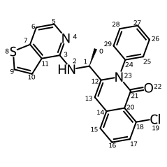 C[C@H](Nc1nccc2sccc12)c1cc2cccc(Cl)c2c(=O)n1-c1ccccc1